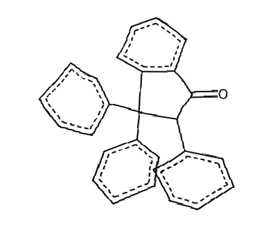 O=C1c2ccccc2C(c2ccccc2)(c2ccccc2)C1c1ccccc1